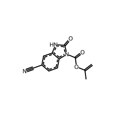 C=C(C)OC(=O)n1c(=O)[nH]c2cc(C#N)ccc21